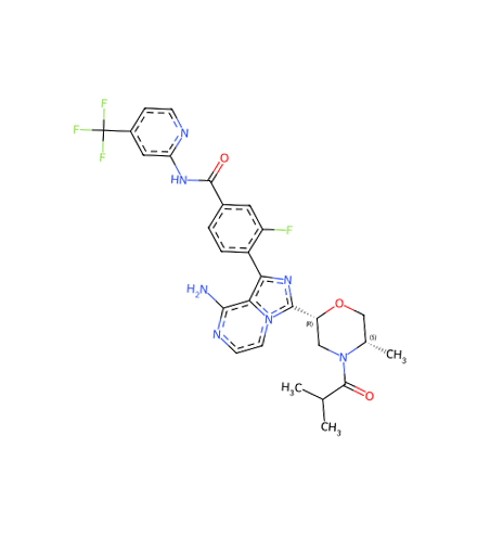 CC(C)C(=O)N1C[C@H](c2nc(-c3ccc(C(=O)Nc4cc(C(F)(F)F)ccn4)cc3F)c3c(N)nccn23)OC[C@@H]1C